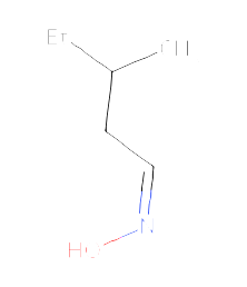 CCC(C)C/C=N\O